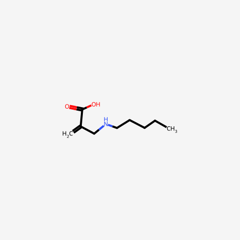 C=C(CNCCCCC)C(=O)O